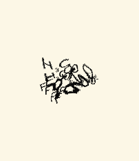 CCOC(=O)CN1C[C@H]([N+](=O)[O-])CC[C@@]1(CO[C@H](C)c1cc(C(F)(F)F)cc(C(F)(F)F)c1)c1ccccc1